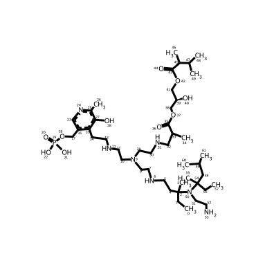 CCC(C)(CCNCCN(CCNCCc1c(COP(=O)(O)O)cnc(C)c1O)CCNCC(C)C(=O)OC[C@H](O)COC(=O)C(C)C(C)C)N(CCN)C(C)(CC)CC(C)C